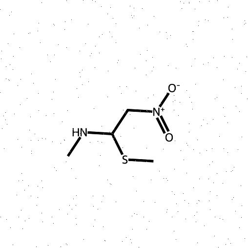 CNC(C[N+](=O)[O-])SC